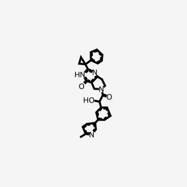 Cc1ccc(-c2cccc(C(O)C(=O)N3CCc4nc(C5(c6ccccc6)CC5)[nH]c(=O)c4C3)c2)cn1